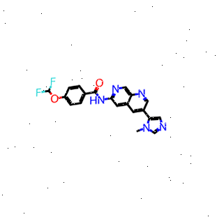 Cn1cncc1-c1cnc2cnc(NC(=O)c3ccc(OC(F)F)cc3)cc2c1